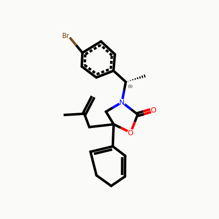 C=C(C)CC1(C2=CCCC=C2)CN([C@@H](C)c2ccc(Br)cc2)C(=O)O1